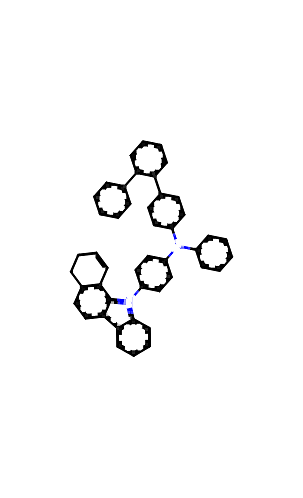 C1=Cc2c(ccc3c4ccccc4n(-c4ccc(N(c5ccccc5)c5ccc(-c6ccccc6-c6ccccc6)cc5)cc4)c23)CC1